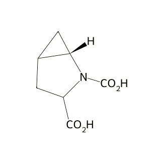 O=C(O)C1CC2C[C@@H]2N1C(=O)O